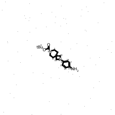 CC(C)(C)OC(=O)N1CCC2(CC1)CN(c1ccc(N)cc1)C2